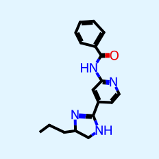 CCCC1CNC(c2ccnc(NC(=O)c3ccccc3)c2)=N1